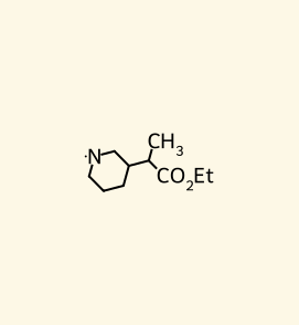 CCOC(=O)C(C)C1CCC[N]C1